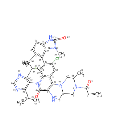 C=CC(=O)N1CC2CNc3c(c4cc(Cl)c(-c5c(C)ccc6[nH]c(=O)n(C)c56)c(F)c4n(-c4c(C(C)C)ncnc4C(C)C)c3=O)N2CC1C